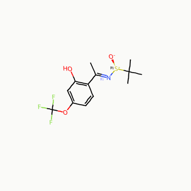 C/C(=N\[S@@+]([O-])C(C)(C)C)c1ccc(OC(F)(F)F)cc1O